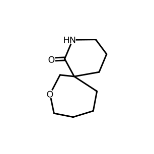 O=C1NCCCC12CCCCOC2